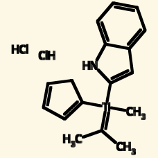 C[C](C)=[Ti]([CH3])([C]1=CC=CC1)[c]1cc2ccccc2[nH]1.Cl.Cl